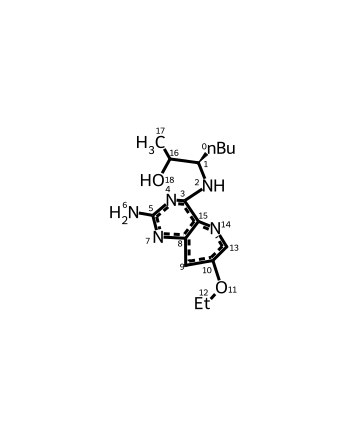 CCCC[C@@H](Nc1nc(N)nc2cc(OCC)cnc12)C(C)O